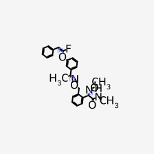 CNC(=O)/C(=N\OC)c1ccccc1CO/N=C(\C)c1cccc(O/C(F)=C\c2ccccc2)c1